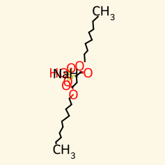 CCCCCCCCCCOC(=O)CC(C(=O)OCCCCCCCCCC)S(=O)(=O)O.[NaH]